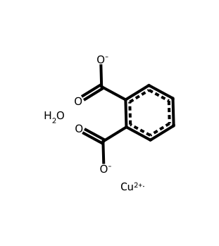 O.O=C([O-])c1ccccc1C(=O)[O-].[Cu+2]